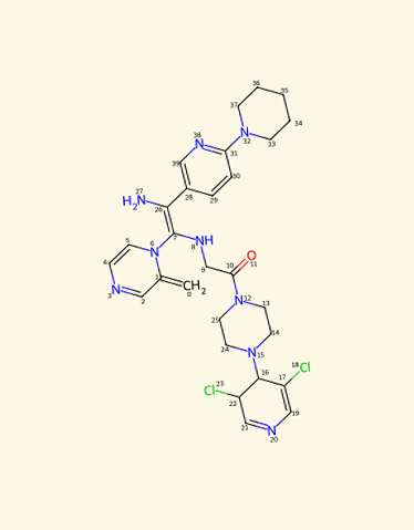 C=C1C=NC=CN1/C(NCC(=O)N1CCN(C2C(Cl)=CN=CC2Cl)CC1)=C(\N)c1ccc(N2CCCCC2)nc1